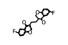 O=C1c2cc(F)ccc2OCC1CCc1coc2ccc(F)cc2c1=O